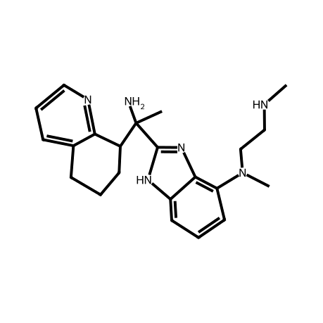 CNCCN(C)c1cccc2[nH]c(C(C)(N)C3CCCc4cccnc43)nc12